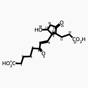 O=C(O)CCCCC(=O)C=CC1=C(CCC(=O)O)C(=O)CC1O